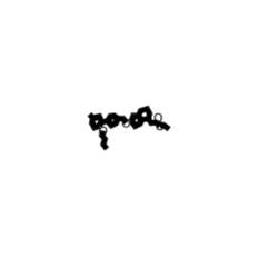 CCCCOc1ccc(C)cc1-c1ccc(COc2ccc3c(c2)CCCC3CC(=O)OCC)cc1